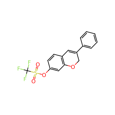 O=S(=O)(Oc1ccc2c(c1)OCC(c1ccccc1)=C2)C(F)(F)F